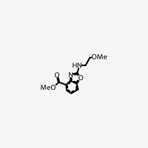 COCCNc1nc2c(C(=O)OC)cccc2o1